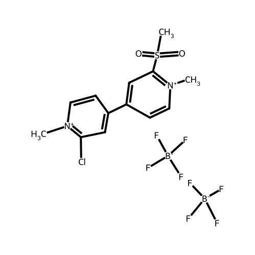 C[n+]1ccc(-c2cc[n+](C)c(S(C)(=O)=O)c2)cc1Cl.F[B-](F)(F)F.F[B-](F)(F)F